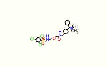 CN(C)C(c1ccccc1)C1CCC(CNC(=O)COCCNCS(=O)(=O)c2c(Cl)cc(Cl)cc2Cl)CC1